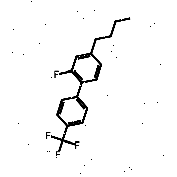 CCCCc1ccc(-c2ccc(C(F)(F)F)cc2)c(F)c1